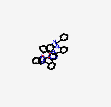 c1ccc(-c2ccccc2-c2nc(-c3ccccc3-n3c(-c4ccccc4)nc4ccccc43)nc(-c3ccccc3-n3c(-c4ccccc4)nc4ccccc43)n2)cc1